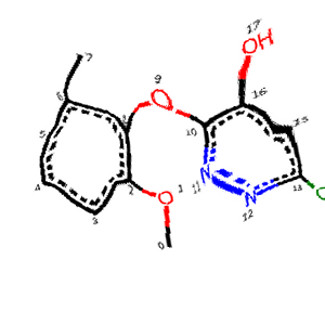 COc1cccc(C)c1Oc1nnc(Cl)cc1O